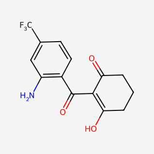 Nc1cc(C(F)(F)F)ccc1C(=O)C1=C(O)CCCC1=O